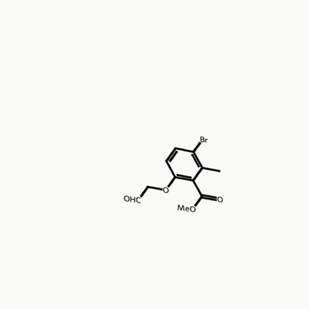 COC(=O)c1c(OCC=O)ccc(Br)c1C